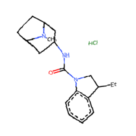 CCC1CN(C(=O)NC2CC3CCC(C2)N3C)c2ccccc21.Cl